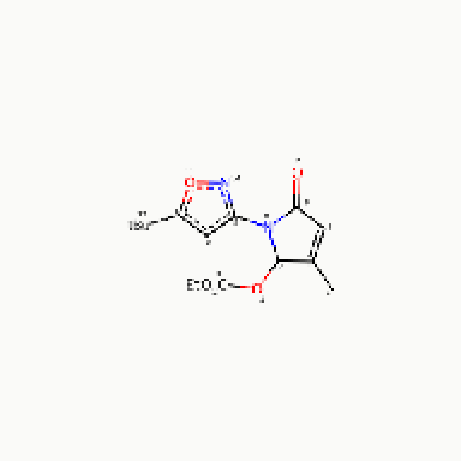 CCOC(=O)OC1C(C)=CC(=O)N1c1cc(C(C)(C)C)on1